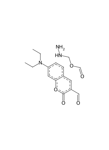 CCN(CC)c1ccc2cc(C=O)c(=O)oc2c1.NNCOC=O